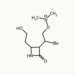 C[SiH](C)OCC(C1C(=O)NC1CCO)C(C)(C)C